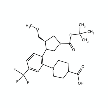 COC[C@H]1CN(C(=O)OC(C)(C)C)CC1c1ccc(C(F)(F)F)cc1N1CCC(C(=O)O)CC1